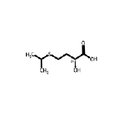 CC(C)SCC[C@H](O)C(=O)O